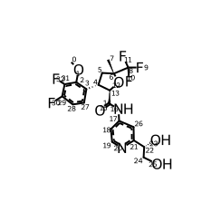 COc1c([C@@H]2C[C@](C)(C(F)(F)F)O[C@H]2C(=O)Nc2ccnc([C@H](O)CO)c2)ccc(F)c1F